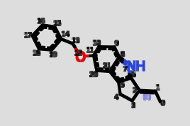 C/C=C1\CCc2c1[nH]c1ccc(OCc3ccccc3)cc21